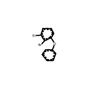 CCc1cccc(Oc2ccccc2)c1Br